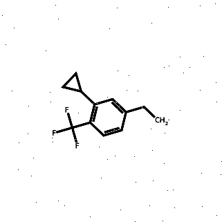 [CH2]Cc1ccc(C(F)(F)F)c(C2CC2)c1